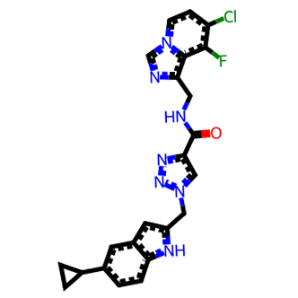 O=C(NCc1ncn2ccc(Cl)c(F)c12)c1cn(Cc2cc3cc(C4CC4)ccc3[nH]2)nn1